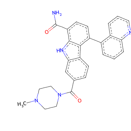 CN1CCN(C(=O)c2ccc3c(c2)[nH]c2c(C(N)=O)ccc(-c4cccc5ncccc45)c23)CC1